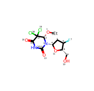 CCO[C@@H]1N([C@@H]2CC(F)[C@H](CO)O2)C(=O)NC(=O)C1(Cl)Cl